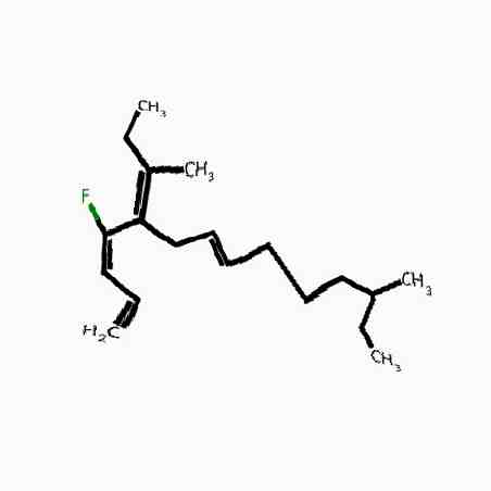 C=C/C=C(F)\C(CC=CCCCC(C)CC)=C(\C)CC